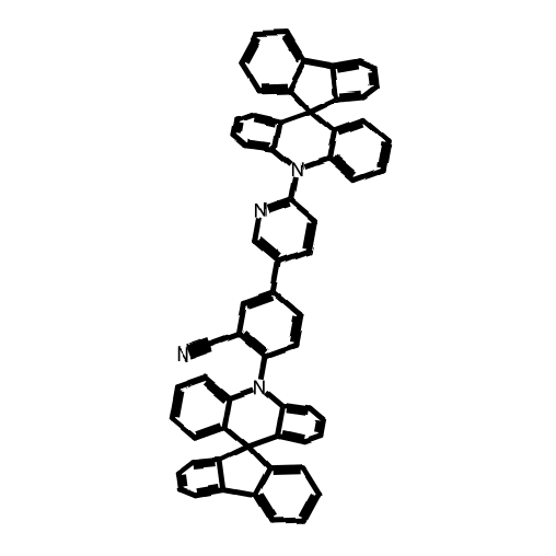 N#Cc1cc(-c2ccc(N3c4ccccc4C4(c5ccccc5-c5ccccc54)c4ccccc43)nc2)ccc1N1c2ccccc2C2(c3ccccc3-c3ccccc32)c2ccccc21